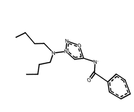 CCCCN(CCCC)[n+]1cc([N-]C(=O)c2ccccc2)on1